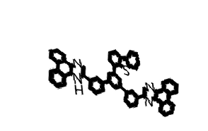 C1=C(c2cccc(-c3cc(-c4cccc(-c5cnc6c7ccccc7c7ccccc7c6n5)c4)cc(-c4cccc5c4sc4ccccc45)c3)c2)NC2C(=N1)c1ccccc1-c1ccccc12